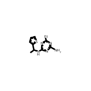 CCc1nc(N)nc(NC(C)c2cccs2)n1